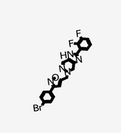 Fc1cccc(-c2nc3c([nH]2)C=NN(Cc2cc(-c4ccc(Br)cc4)no2)C3)c1F